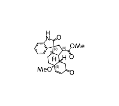 COC(=O)[C@@H]1C[C@@]2(C(=O)Nc3ccccc32)[C@@H]2CC[C@@]3(OC)C=CC(=O)C[C@H]3C21